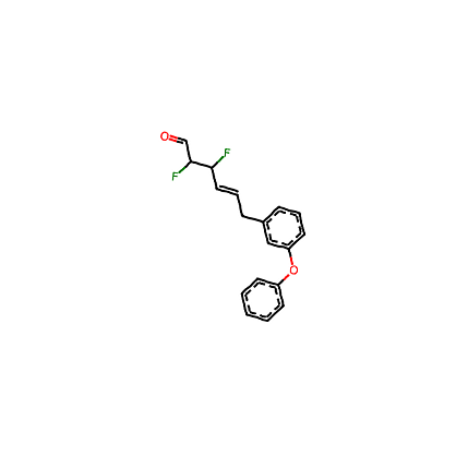 O=CC(F)C(F)C=CCc1cccc(Oc2ccccc2)c1